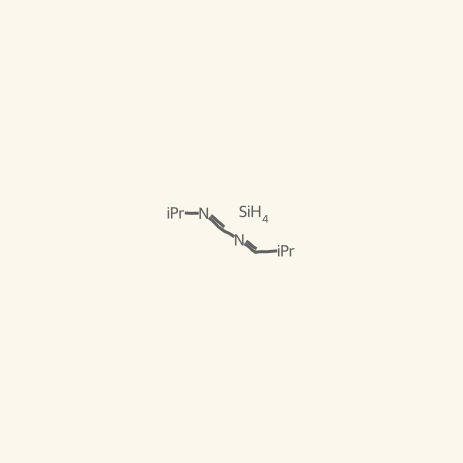 CC(C)C=NC=NC(C)C.[SiH4]